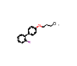 CCCCOc1ccc(-c2ccccc2I)cc1